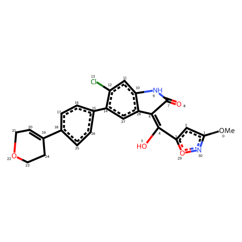 COc1cc(C(O)=C2C(=O)Nc3cc(Cl)c(-c4ccc(C5=CCOCC5)cc4)cc32)on1